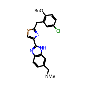 CNCc1ccc2nc(-c3csc(Cc4cc(Cl)ccc4OCC(C)C)n3)[nH]c2c1